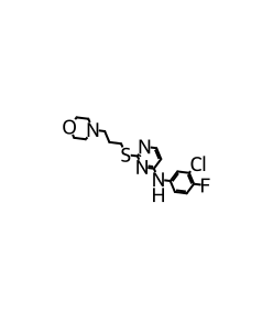 Fc1ccc(Nc2ccnc(SCCCN3CCOCC3)n2)cc1Cl